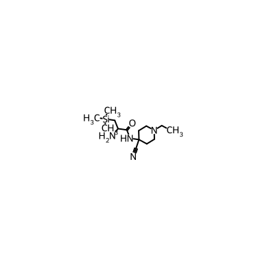 CCN1CCC(C#N)(NC(=O)C(N)C[Si](C)(C)C)CC1